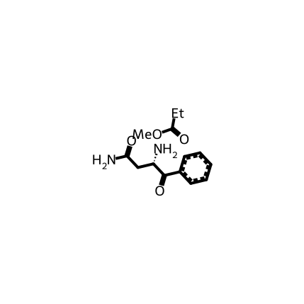 CCC(=O)OC.NC(=O)C[C@H](N)C(=O)c1ccccc1